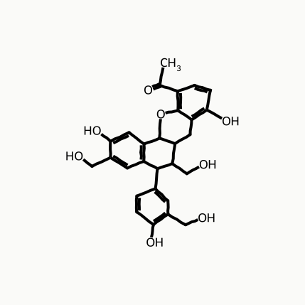 CC(=O)c1ccc(O)c2c1OC1c3cc(O)c(CO)cc3C(c3ccc(O)c(CO)c3)C(CO)C1C2